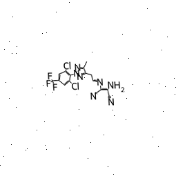 Cc1nn(-c2c(Cl)cc(C(F)(F)F)cc2Cl)nc1CC=NC(C#N)=C(N)C#N